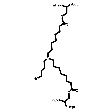 CCCCCCCCC(CCCCCC)COC(=O)CCCCCCCN(CCCCO)CCCCCCCC(=O)OCC(CCCCCCC)CCCCCCCC